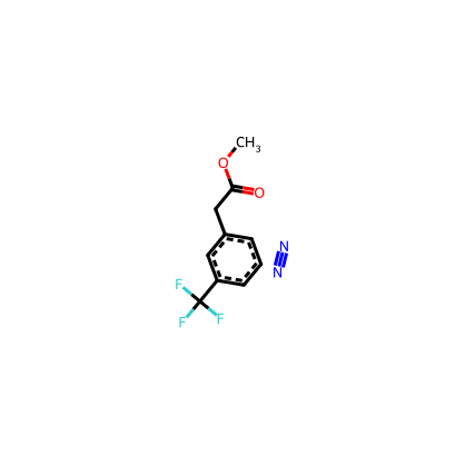 COC(=O)Cc1cccc(C(F)(F)F)c1.N#N